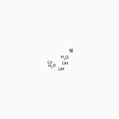 O.O.[Co].[LiH].[LiH].[Ni]